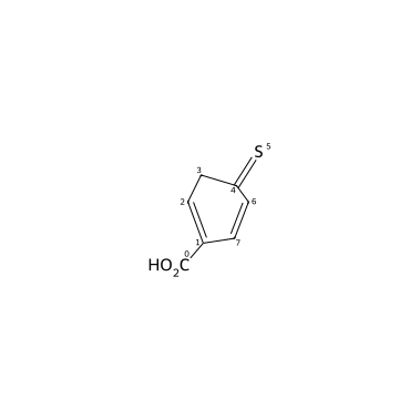 O=C(O)C1=CCC(=S)C=C1